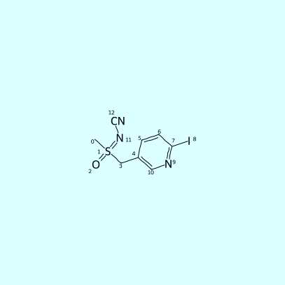 CS(=O)(Cc1ccc(I)nc1)=NC#N